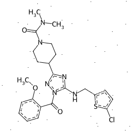 COc1ccccc1C(=O)n1nc(C2CCN(C(=O)N(C)C)CC2)nc1NCc1ccc(Cl)s1